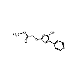 COC(=O)COc1cc(-c2ccncc2)n(O)n1